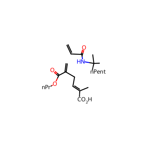 C=C(CC=C(C)C(=O)O)C(=O)OCCC.C=CC(=O)NC(C)(C)CCCCC